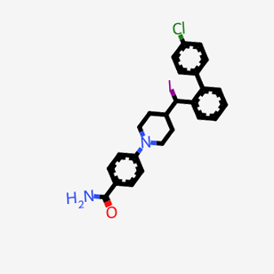 NC(=O)c1ccc(N2CCC(C(I)c3ccccc3-c3ccc(Cl)cc3)CC2)cc1